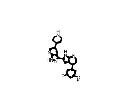 COc1cc(F)cc(-c2ccnc3[nH]c(-c4n[nH]c5ncc(C6=CCNCC6)cc45)cc23)c1